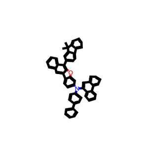 CC1(C)c2ccccc2-c2ccc(-c3c4ccccc4cc4c3oc3cc(N(c5ccc(-c6ccccc6)cc5)c5cc6ccccc6c6ccccc56)ccc34)cc21